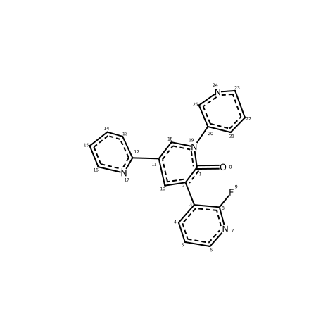 O=c1c(-c2cccnc2F)cc(-c2ccccn2)cn1-c1cccnc1